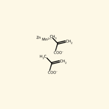 C=C(C)C(=O)[O-].C=C(C)C(=O)[O-].[Mn+2].[Zn]